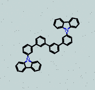 c1cc(-c2cccc(-c3cccc(-n4c5ccccc5c5ccccc54)c3)c2)cc(-c2cccc(-n3c4ccccc4c4ccccc43)c2)c1